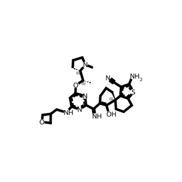 C[C@H](Oc1cc(NCC2COC2)nc(C(=N)C2=C(O)[C@@]3(CCC2)CCCc2sc(N)c(C#N)c23)n1)[C@@H]1CCCN1C